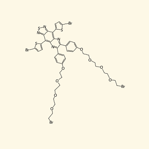 BrCCOCCOCCOCCOc1ccc(-c2nc3c(-c4ccc(Br)s4)c4nsnc4c(-c4ccc(Br)s4)c3nc2-c2ccc(OCCOCCOCCOCCBr)cc2)cc1